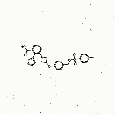 Cc1ccc(S(=O)(=O)NCc2ccc(OC3CN(c4cccc(C(=O)O)c4-n4cccc4)C3)cc2)cc1